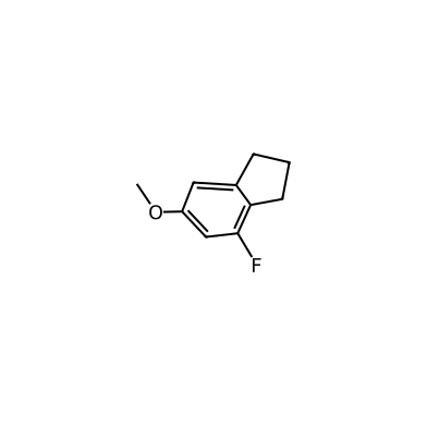 COc1cc(F)c2c(c1)CCC2